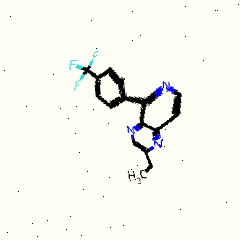 CCc1cnc2c(-c3ccc(C(F)(F)F)cc3)nccc2n1